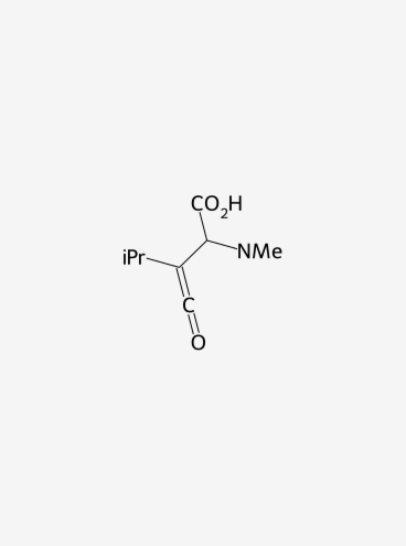 CNC(C(=O)O)C(=C=O)C(C)C